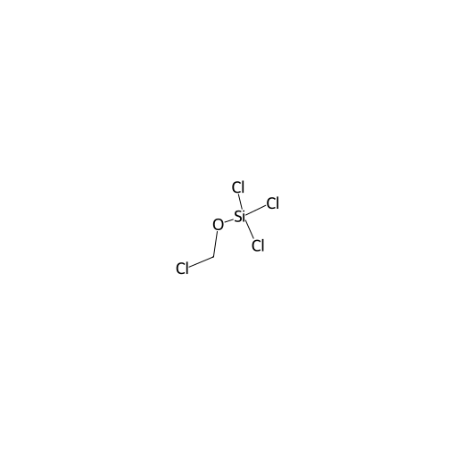 ClCO[Si](Cl)(Cl)Cl